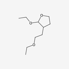 CCOCCC1CCOC1OCC